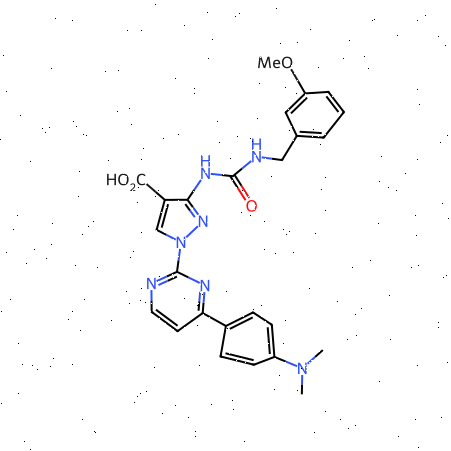 COc1cccc(CNC(=O)Nc2nn(-c3nccc(-c4ccc(N(C)C)cc4)n3)cc2C(=O)O)c1